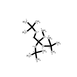 CC(C)(C)OCC(O[SiH3])(OC(C)(C)C)OC(C)(C)C